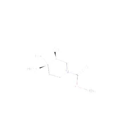 C[C@H]1CN(C(=O)OC(C)(C)C)CC[C@@]1(C)C(=O)O